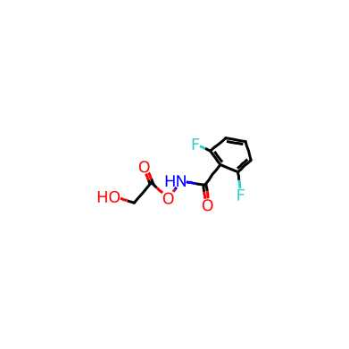 O=C(CO)ONC(=O)c1c(F)cccc1F